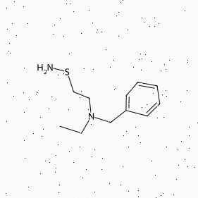 CCN(CCSN)Cc1ccccc1